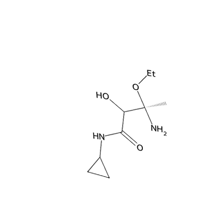 CCO[C@@](C)(N)C(O)C(=O)NC1CC1